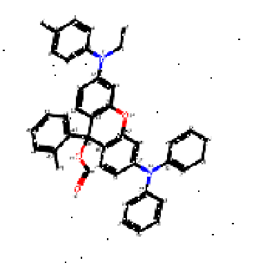 CCN(c1ccc(C)cc1)c1ccc2c(c1)Oc1cc(N(C3=CCCC=C3)c3ccccc3)ccc1C2(OC=O)c1ccccc1C